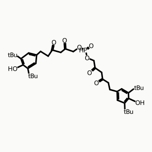 CC(C)(C)c1cc(CCC(=O)CC(=O)CO[PH](=O)OCC(=O)CC(=O)CCc2cc(C(C)(C)C)c(O)c(C(C)(C)C)c2)cc(C(C)(C)C)c1O